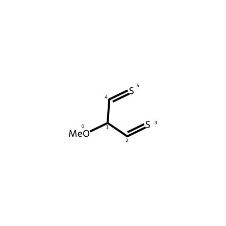 COC(C=S)C=S